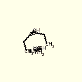 CCCCCCCC/C=C\CCCCCCCCOCC(CO)OCCCCCCCC/C=C\CCCCCCCC.NC(COP(=O)(O)O)C(=O)O